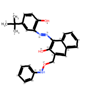 CC(C)(C)c1ccc(O)c(N=Nc2c(O)c(CONc3ccccc3)cc3ccccc23)c1